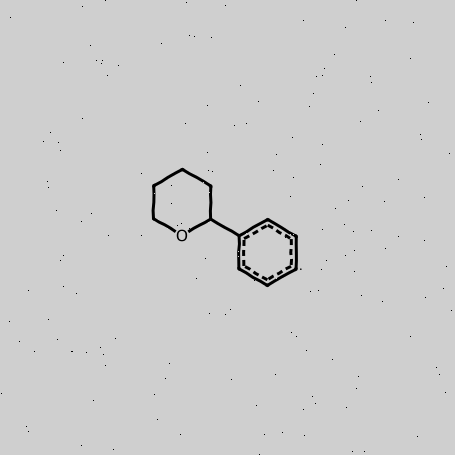 [c]1ccc(C2CCCCO2)cc1